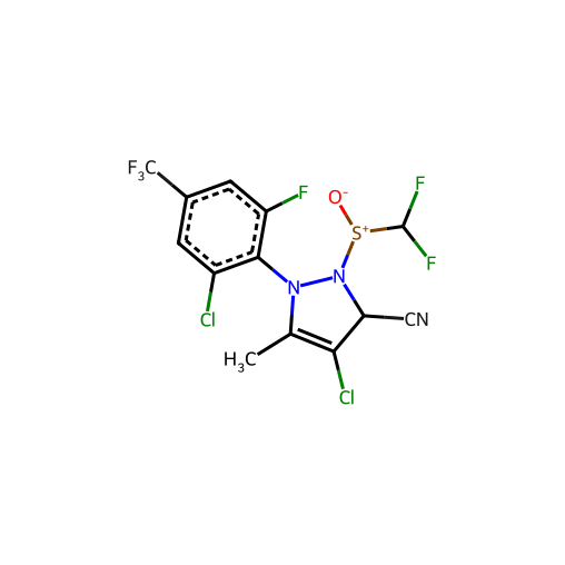 CC1=C(Cl)C(C#N)N([S+]([O-])C(F)F)N1c1c(F)cc(C(F)(F)F)cc1Cl